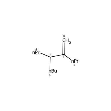 C=C(CCC)C(CCC)CCCC